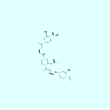 C=CC(=O)N1CCN(C(C)C/C=C\C(=O)N2CCN(C(C)C/C=C\C(=O)N3CCN(C(C)C)C(C(=O)O)C3)C(CC(=O)O)C2)CC1C(N)=O